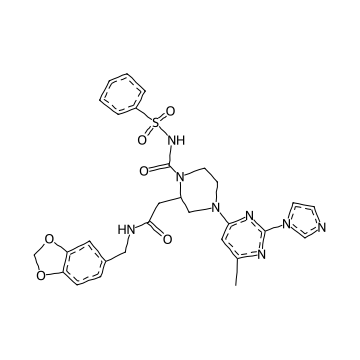 Cc1cc(N2CCN(C(=O)NS(=O)(=O)c3ccccc3)C(CC(=O)NCc3ccc4c(c3)OCO4)C2)nc(-n2ccnc2)n1